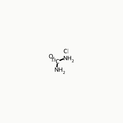 N[13C](N)=O.[C]